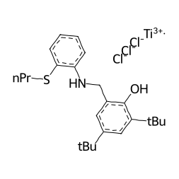 CCCSc1ccccc1NCc1cc(C(C)(C)C)cc(C(C)(C)C)c1O.[Cl-].[Cl-].[Cl-].[Ti+3]